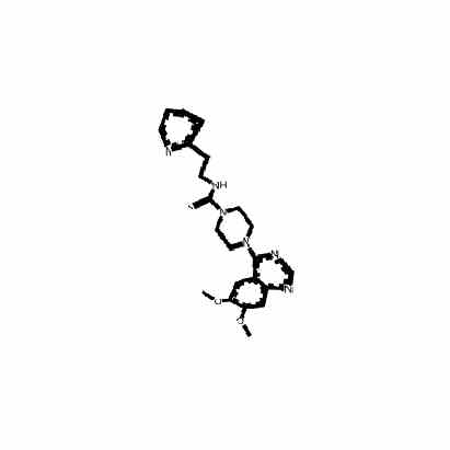 COc1cc2ncnc(N3CCN(C(=S)NCCc4ccccn4)CC3)c2cc1OC